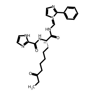 CCC(=O)CCCCC[C@H](NC(=O)c1ncc[nH]1)C(=O)NC=S1C=CN=C1c1ccccc1